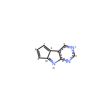 [c]1ncnc2c1C1=CC=CC1=N2